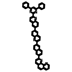 c1ccc(-c2cc(-c3ccccc3)nc(-c3ccc4cc(-c5ccc6nc(-c7ccc8cc(-c9ccc%10ccc%11cccnc%11c%10n9)ccc8c7)ccc6c5)ccc4n3)n2)cc1